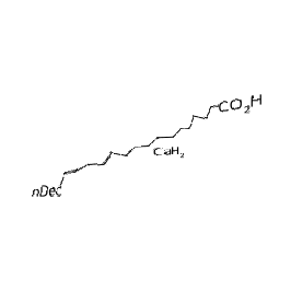 CCCCCCCCCCCCCCCCCCCCCCCCCC(=O)O.[CaH2]